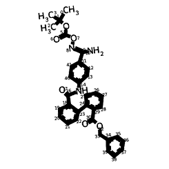 CC(C)(C)OC(=O)ON=C(N)c1ccc(NC(=O)c2ccccc2-c2ccccc2C(=O)OCc2ccccc2)cc1